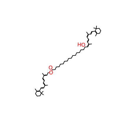 CC(C=CC1=C(C)CCCC1(C)C)=CC=CC(C)=CCOC(=O)CCCCCCCCCCCCCCCC(O)C=C(C)C=CC=C(C)C=CC1=C(C)CCCC1(C)C